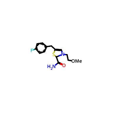 COCCN1C=C(Cc2ccc(F)cc2)SC1C(N)=O